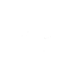 O=S=NC(CSCC(=O)O)C(=O)O